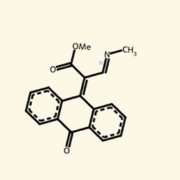 C/N=C/C(C(=O)OC)=C1c2ccccc2C(=O)c2ccccc21